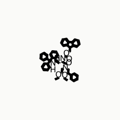 CCOC(CN(CCc1ccccc1)C(=O)[C@H](CC(=O)NC(c1ccccc1)(c1ccccc1)c1ccccc1)NC(=O)OCC1c2ccccc2-c2ccccc21)OCC